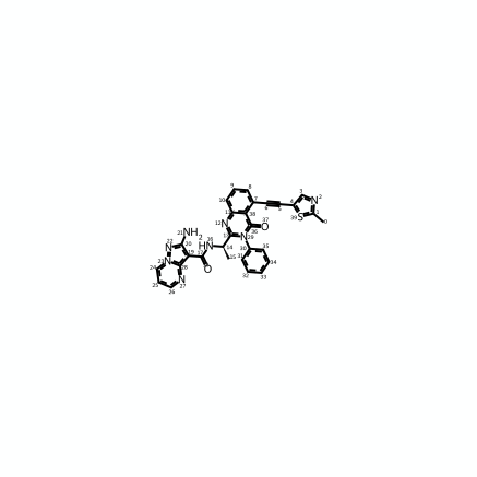 Cc1ncc(C#Cc2cccc3nc([C@@H](C)NC(=O)c4c(N)nn5cccnc45)n(-c4ccccc4)c(=O)c23)s1